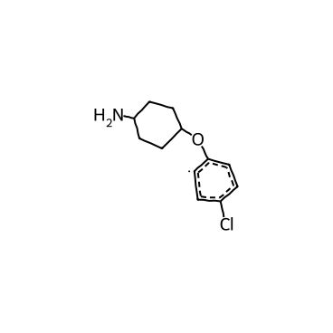 NC1CCC(Oc2[c]cc(Cl)cc2)CC1